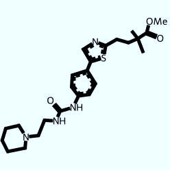 COC(=O)C(C)(C)CCc1ncc(-c2ccc(NC(=O)NCCN3CCCCC3)cc2)s1